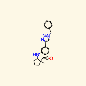 CC1(C=C=O)CCCC1Nc1cccc(-c2cn(Cc3ccccc3)nn2)c1